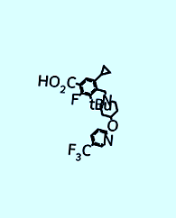 CC(C)(C)c1c(F)c(C(=O)O)cc(C2CC2)c1CN1CCC(Oc2ccc(C(F)(F)F)cn2)CC1